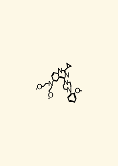 COCCN(CCOC)c1ccc2nc(C3CC3)nc(N3CCN(c4ccccc4OC)CC3)c2c1